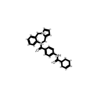 O=C(Nc1ccc(C(=O)N2Cc3cccn3Cc3ccccc32)cc1)C1CC=CCC1